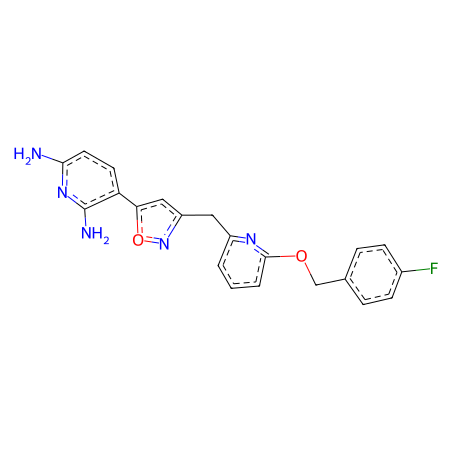 Nc1ccc(-c2cc(Cc3cccc(OCc4ccc(F)cc4)n3)no2)c(N)n1